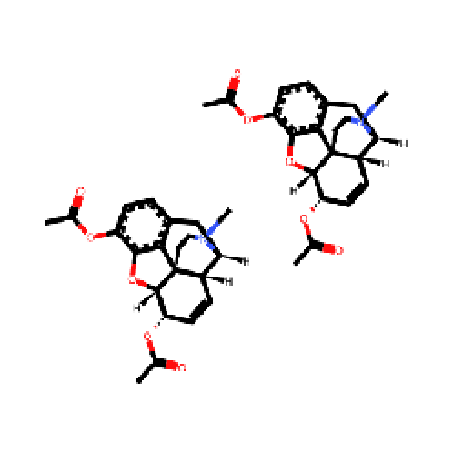 CC(=O)Oc1ccc2c3c1O[C@H]1[C@@H](OC(C)=O)C=C[C@H]4[C@@H](C2)N(C)CC[C@@]341.CC(=O)Oc1ccc2c3c1O[C@H]1[C@@H](OC(C)=O)C=C[C@H]4[C@@H](C2)N(C)CC[C@@]341